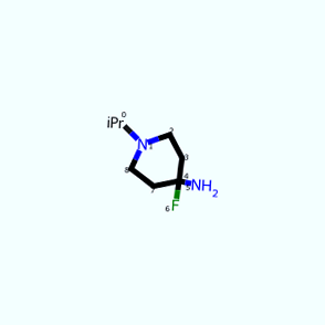 CC(C)N1CCC(N)(F)CC1